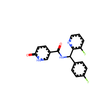 O=C(NC(c1ccc(F)cc1)c1ncccc1F)c1ccc(=O)[nH]c1